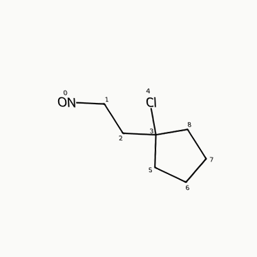 O=NCCC1(Cl)CCCC1